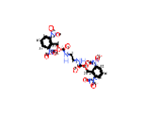 O=C(NCCNC(=O)OCc1c([N+](=O)[O-])cccc1[N+](=O)[O-])OCc1c([N+](=O)[O-])cccc1[N+](=O)[O-]